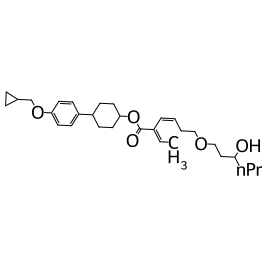 C/C=C(\C=C/CCOCCC(O)CCC)C(=O)OC1CCC(c2ccc(OCC3CC3)cc2)CC1